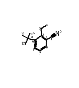 CCc1c(C#N)cccc1C(C)(C)C